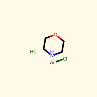 C1COCCN1.CC(=O)Cl.Cl